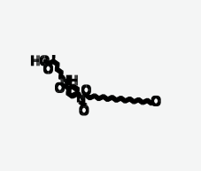 C[C@@H](CCCCNC(=O)c1ccc(N(CC=O)C(=O)CCCCCCCCCCCCCCC=O)cc1)C(=O)O